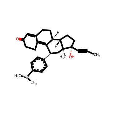 CC#C[C@]1(O)CC[C@H]2[C@@H]3CCC4=CC(=O)CCC4=C3[C@@H](c3ccc([As](C)C)cc3)C[C@@]21C